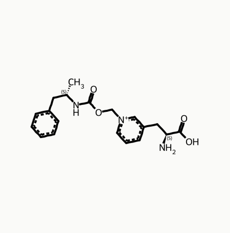 C[C@@H](Cc1ccccc1)NC(=O)OC[n+]1cccc(C[C@H](N)C(=O)O)c1